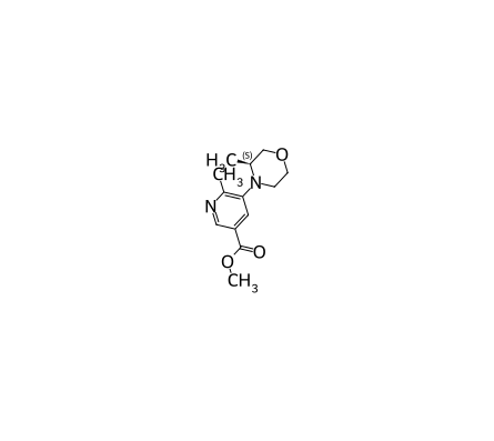 COC(=O)c1cnc(C)c(N2CCOC[C@@H]2C)c1